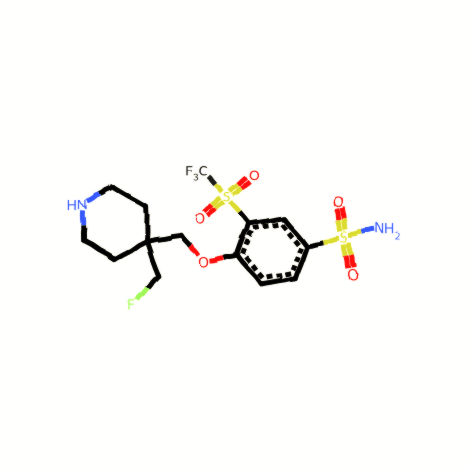 NS(=O)(=O)c1ccc(OCC2(CF)CCNCC2)c(S(=O)(=O)C(F)(F)F)c1